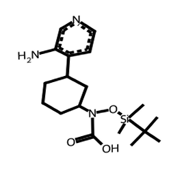 CC(C)(C)[Si](C)(C)ON(C(=O)O)C1CCCC(c2ccncc2N)C1